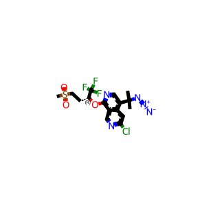 CC(C)(N=[N+]=[N-])c1cnc(O[C@H](CCS(C)(=O)=O)C(F)(F)F)c2cnc(Cl)cc12